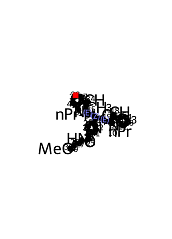 CCCN1/C(=C/C=C(/C=C/C2=[N+](CCC)c3ccccc3C2(C)C)c2ccc(C(=O)NCCCOC)cn2)C(C)(C)c2ccccc21